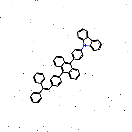 C(=C(c1ccccc1)c1ccccc1)c1ccc(-c2c3ccccc3c(-c3ccc(-n4c5ccccc5c5ccccc54)cc3)c3ccccc23)cc1